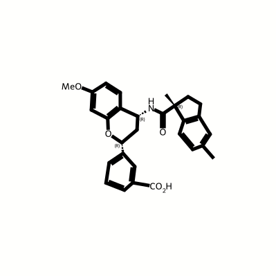 COc1ccc2c(c1)O[C@@H](c1cccc(C(=O)O)c1)C[C@H]2NC(=O)[C@]1(C)CCc2cc(C)ccc21